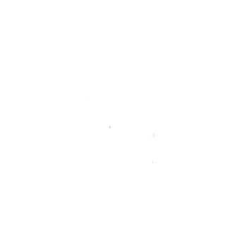 CC(C)(C)[Si](C)(C)OCCc1ccc(C2OC2C(=O)C2CC2)cc1